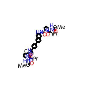 COC(=O)N[C@H](C(=O)N1CCC[C@H]1C(=O)Nc1ccc2cc(-c3ccc(-c4c[nH]c([C@]5(C)CCCN5C(=O)[C@@H](NC(=O)OC)C(C)C)n4)cc3)ccc2c1)C(C)C